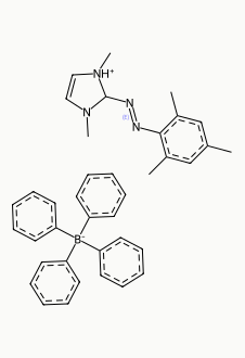 Cc1cc(C)c(/N=N/C2N(C)C=C[NH+]2C)c(C)c1.c1ccc([B-](c2ccccc2)(c2ccccc2)c2ccccc2)cc1